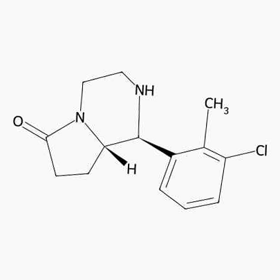 Cc1c(Cl)cccc1[C@@H]1NCCN2C(=O)CC[C@@H]12